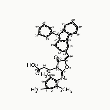 Cc1cc(C)c(/N=C2/O/C(=C/c3ccc4c(c3)c3ccccc3n4-c3ccccc3)C(=O)N2CCC(=O)O)c(C)c1